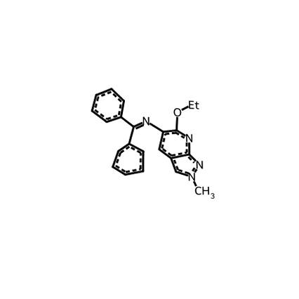 CCOc1nc2nn(C)cc2cc1N=C(c1ccccc1)c1ccccc1